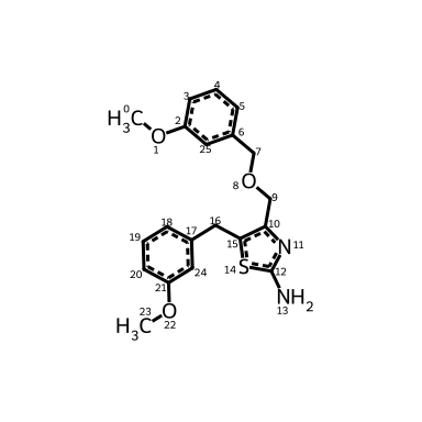 COc1cccc(COCc2nc(N)sc2Cc2cccc(OC)c2)c1